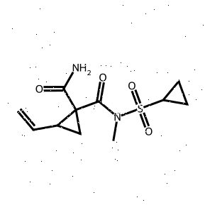 C=CC1CC1(C(N)=O)C(=O)N(C)S(=O)(=O)C1CC1